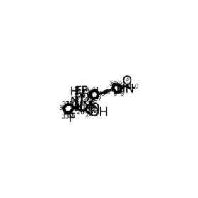 CNC(=O)c1ccc(C#Cc2ccc(OC(F)(F)F)c(C(=O)NC(CO)Cc3n[nH]c4cccc(F)c34)c2)cc1